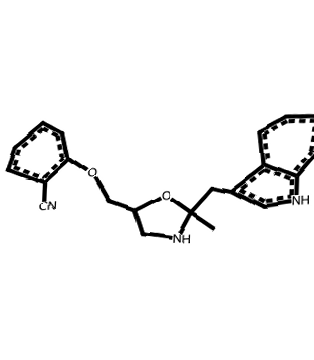 CC1(Cc2c[nH]c3ccccc23)NCC(COc2ccccc2C#N)O1